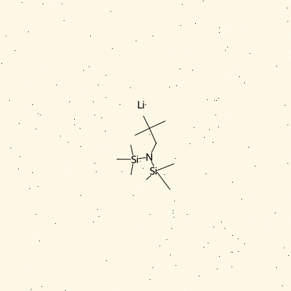 CC(C)(C)CN([Si](C)(C)C)[Si](C)(C)C.[Li]